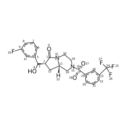 O=C1[C@H](C(O)c2cccc(F)c2)C[C@H]2CN(S(=O)(=O)c3cccc(C(F)(F)F)c3)CCN12